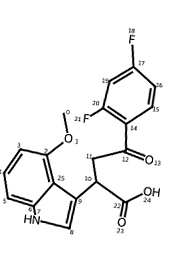 COc1cccc2[nH]cc(C(CC(=O)c3ccc(F)cc3F)C(=O)O)c12